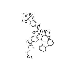 COCCS(=O)(=O)c1ccc2c(c1)C(C1c3ccccc3-c3ccccc31)N(C(=O)O)C2(C)C(=O)Nc1ccc(C(O)(C(F)(F)F)C(F)(F)F)cc1